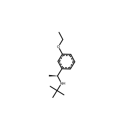 CCOc1cccc([C@H](C)NC(C)(C)C)c1